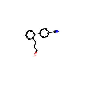 N#Cc1ccc(-c2ccccc2CCC=O)cc1